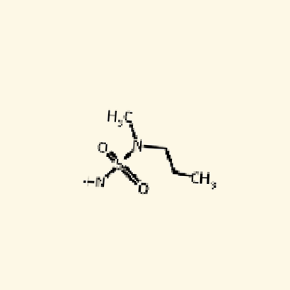 CCCN(C)S([NH])(=O)=O